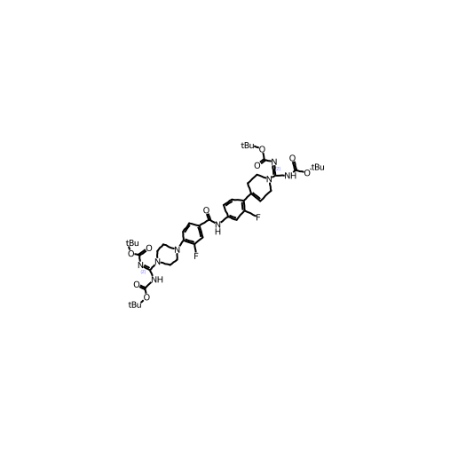 CC(C)(C)OC(=O)/N=C(/NC(=O)OC(C)(C)C)N1CC=C(c2ccc(NC(=O)c3ccc(N4CCN(/C(=N\C(=O)OC(C)(C)C)NC(=O)OC(C)(C)C)CC4)c(F)c3)cc2F)CC1